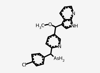 COC(c1ccc(C([AsH2])c2ccc(Cl)cc2)nc1)c1c[nH]c2ncccc12